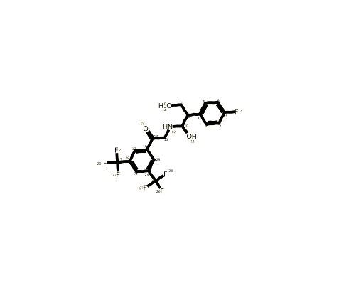 CCC(c1ccc(F)cc1)C(O)NCC(=O)c1cc(C(F)(F)F)cc(C(F)(F)F)c1